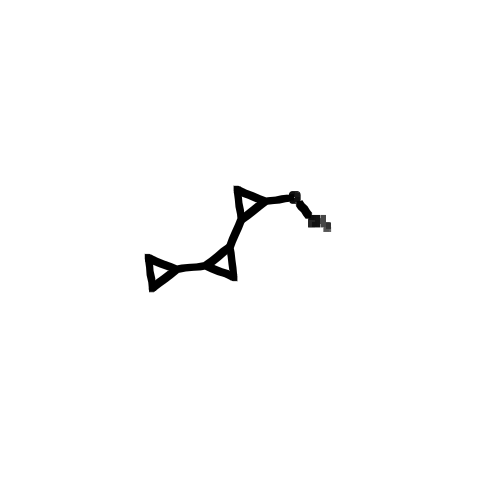 BOC1CC1C1CC1C1CC1